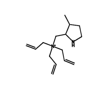 C=CC[N+](CC=C)(CC=C)CC1NCCC1C